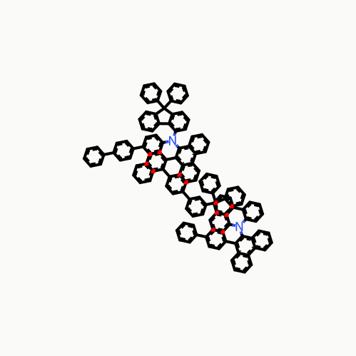 c1ccc(-c2ccc(-c3ccc(N(c4cccc5c4-c4ccccc4C5(c4ccccc4)c4ccccc4)c4c(-c5ccccc5-c5ccc(-c6cccc(C7(c8ccccc8)c8ccccc8-c8c(N(c9ccccc9-c9ccccc9)c9c(-c%10ccc(-c%11ccccc%11)cc%10)c%10ccccc%10c%10ccccc9%10)cccc87)c6)cc5)c5ccccc5c5ccccc45)cc3-c3ccccc3)cc2)cc1